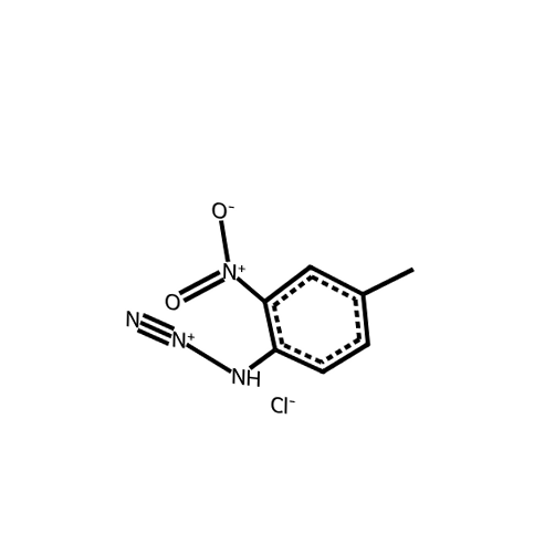 Cc1ccc(N[N+]#N)c([N+](=O)[O-])c1.[Cl-]